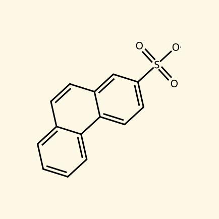 [O]S(=O)(=O)c1ccc2c(ccc3ccccc32)c1